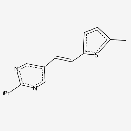 Cc1ccc(/C=C/c2cnc(C(C)C)nc2)s1